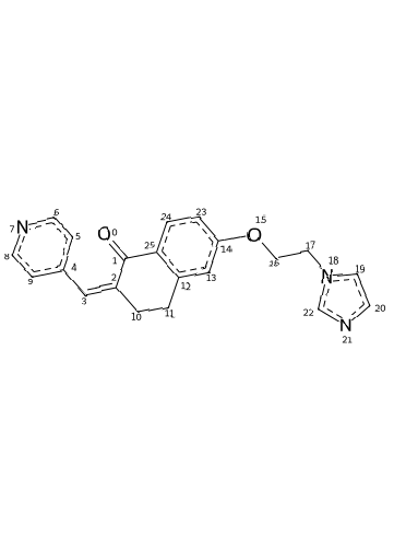 O=C1C(=Cc2ccncc2)CCc2cc(OCCn3ccnc3)ccc21